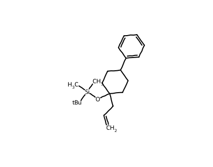 C=CCC1(O[Si](C)(C)C(C)(C)C)CCC(c2ccccc2)CC1